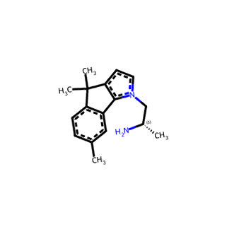 Cc1ccc2c(c1)-c1c(ccn1C[C@H](C)N)C2(C)C